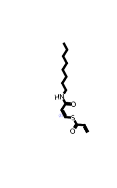 C=CC(=O)S/C=C\C(=O)NCCCCCCCC